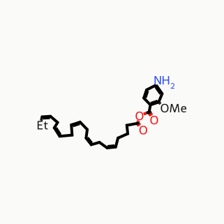 CC/C=C\C/C=C\C/C=C\C/C=C\C/C=C\CCCC(=O)OC(=O)c1ccc(N)cc1OC